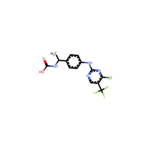 CC(NC(=O)O)c1ccc(Nc2ncc(C(F)(F)F)c(Cl)n2)cc1